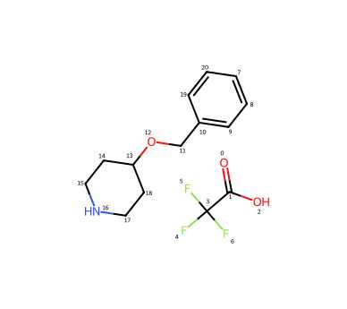 O=C(O)C(F)(F)F.c1ccc(COC2CCNCC2)cc1